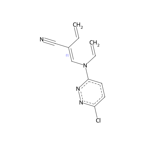 C=C/C(C#N)=C\N(C=C)c1ccc(Cl)nn1